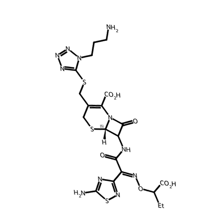 CCC(ON=C(C(=O)NC1C(=O)N2C(C(=O)O)=C(CSc3nnnn3CCCN)CS[C@@H]12)c1nsc(N)n1)C(=O)O